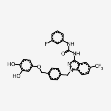 O=C(Nc1cccc(F)c1)Nc1nn(Cc2ccc(COc3ccc(O)c(O)c3)cc2)c2ccc(C(F)(F)F)cc12